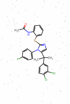 CC(=O)Nc1ccccc1Sc1ncc(C(C)(C)c2ccc(Cl)c(Cl)c2)n1-c1ccc(F)cc1